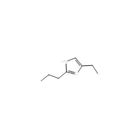 CCCc1nc(CC)c[nH]1